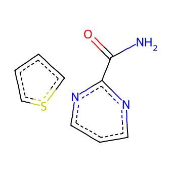 NC(=O)c1ncccn1.c1ccsc1